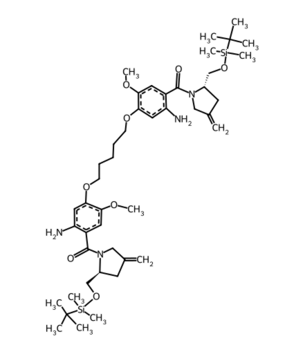 C=C1C[C@@H](CO[Si](C)(C)C(C)(C)C)N(C(=O)c2cc(OC)c(OCCCCCOc3cc(N)c(C(=O)N4CC(=C)C[C@H]4CO[Si](C)(C)C(C)(C)C)cc3OC)cc2N)C1